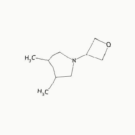 CC1CN(C2COC2)CC1C